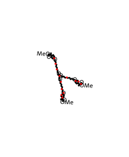 C=C(C(=O)OC)c1ccc(OCCCCCCCCCOCC(COCCCCCCCCCOc2ccc(C(=C)C(=O)OC)cc2)OCCCCCCCCCOc2ccc(C(=C)C(=O)OC)cc2)cc1